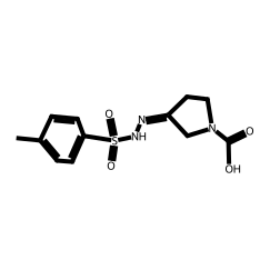 Cc1ccc(S(=O)(=O)N/N=C2/CCN(C(=O)O)C2)cc1